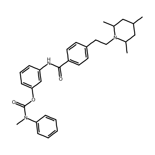 CC1CC(C)N(CCc2ccc(C(=O)Nc3cccc(OC(=O)N(C)c4ccccc4)c3)cc2)C(C)C1